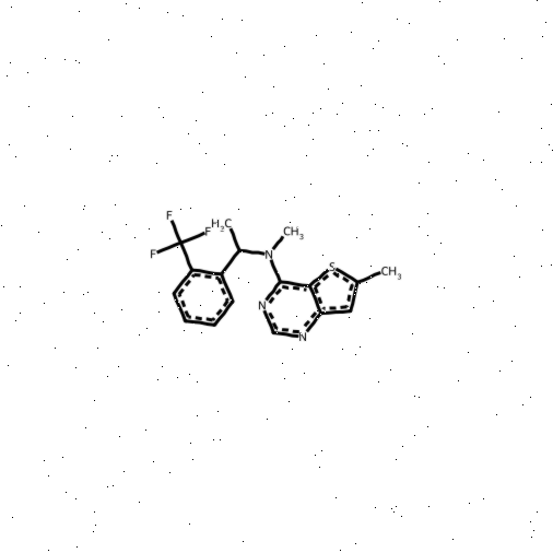 Cc1cc2ncnc(N(C)C(C)c3ccccc3C(F)(F)F)c2s1